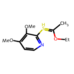 CCOC(C)=[SH]c1nccc(OC)c1OC